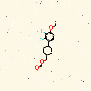 CCOc1ccc(C2CCC(COC=O)CC2)c(F)c1F